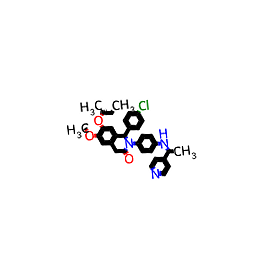 CC[C@@H](C)Oc1cc2c(cc1OC)CC(=O)N(c1ccc(NC(C)c3ccncc3)cc1)C2c1ccc(Cl)cc1